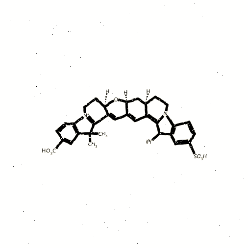 CC(C)C1C2=C3C=C4C=C5C6=[N+](CC[C@H]5O[C@H]4C[C@H]3CCN2c2ccc(S(=O)(=O)O)cc21)c1ccc(C(=O)O)cc1C6(C)C